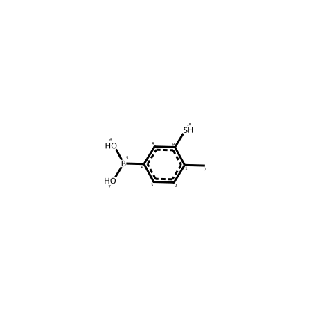 Cc1ccc(B(O)O)cc1S